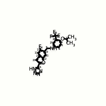 CC(C)Oc1ccc(NCc2cc3oc(-c4nnn[nH]4)cc3cc2F)cc1C(F)(F)F